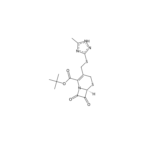 Cc1nc(SCC2=C(C(=O)OC(C)(C)C)N3C(=O)C(=O)[C@@H]3SC2)n[nH]1